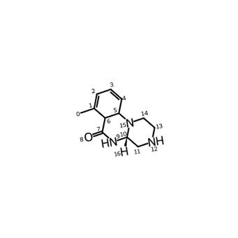 CC1=CC=CC2C1C(=O)N[C@H]1CNCCN21